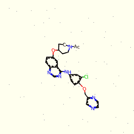 CC(=O)N1CCC(Oc2ccc3ncnc(Nc4ccc(OCc5cnccn5)c(Cl)c4)c3c2)CC1